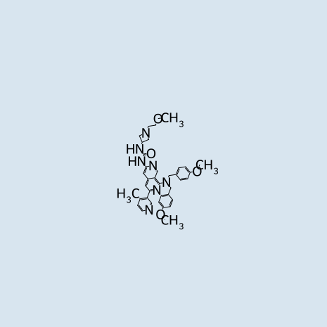 COCCN1CC(NC(=O)Nc2cc3cc(-c4cnccc4C)nc(N(Cc4ccc(OC)cc4)Cc4ccc(OC)cc4)c3cn2)C1